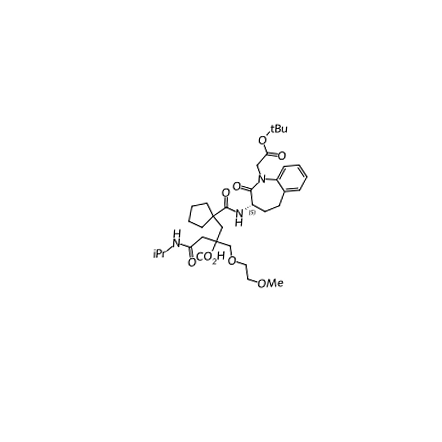 COCCOCC(CC(=O)NC(C)C)(CC1(C(=O)N[C@H]2CCc3ccccc3N(CC(=O)OC(C)(C)C)C2=O)CCCC1)C(=O)O